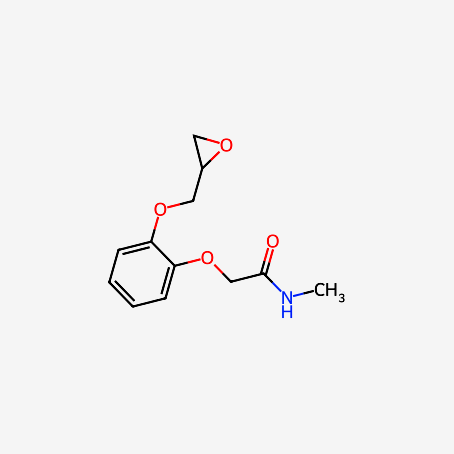 CNC(=O)COc1ccccc1OCC1CO1